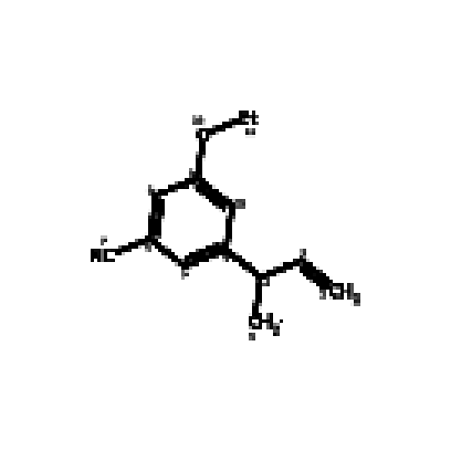 [CH2]C(C=C)c1cc(C#N)cc(OCC)c1